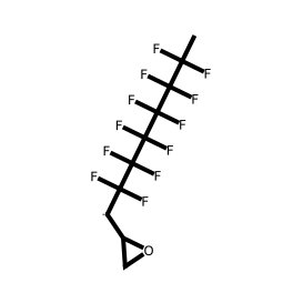 CC(F)(F)C(F)(F)C(F)(F)C(F)(F)C(F)(F)C(F)(F)[CH]C1CO1